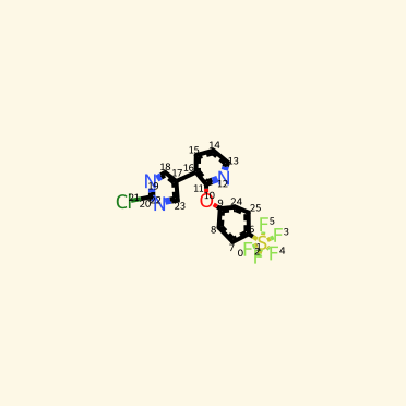 FS(F)(F)(F)(F)c1ccc(Oc2ncccc2-c2cnc(Cl)nc2)cc1